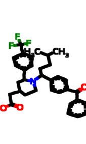 CC(C)CCC(c1ccc(C(=O)c2ccccc2)cc1)N1CCC(CC(=O)O)CC1c1ccc(C(F)(F)F)cc1